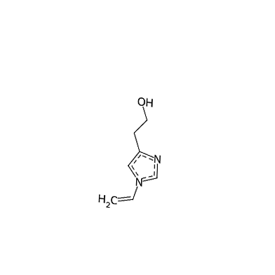 C=Cn1cnc(CCO)c1